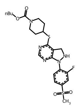 CCCCOC(=O)N1CCC(Sc2ncnc3c2CNN3c2ccc(S(C)(=O)=O)cc2F)CC1